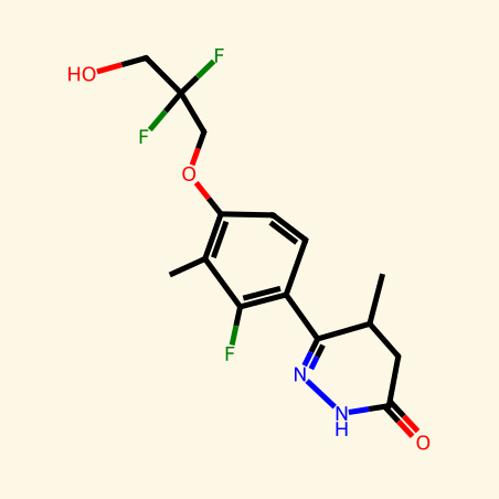 Cc1c(OCC(F)(F)CO)ccc(C2=NNC(=O)CC2C)c1F